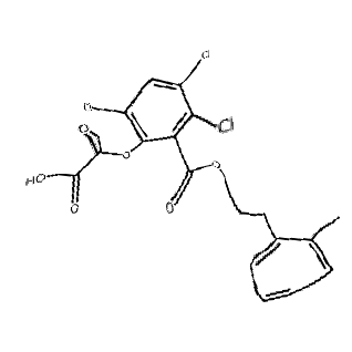 Cc1ccccc1CCOC(=O)c1c(Cl)c(Cl)cc(Cl)c1OC(=O)C(=O)O